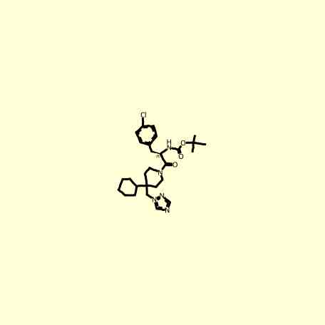 CC(C)(C)OC(=O)N[C@H](Cc1ccc(Cl)cc1)C(=O)N1CCC(Cn2cncn2)(C2CCCCC2)CC1